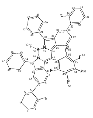 CC1=CCCC=C1c1ccc2c(c1)C(C1=CC=CCC1)N1B(F)n3c(c4ccc(-c5ccccc5C)cc4c3-c3ccccc3)C(c3c(F)c(F)c(F)c(F)c3F)=C21